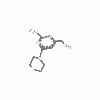 CCc1cc(N2CCOCC2)nc(C)n1